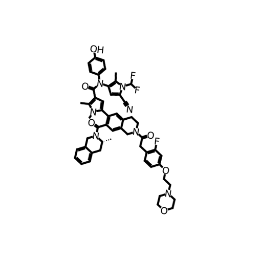 Cc1c(C(=O)N(c2ccc(O)cc2)c2cc(C#N)n(C(F)F)c2C)cc(-c2cc3c(cc2C(=O)N2Cc4ccccc4C[C@H]2C)CN(C(=O)Cc2ccc(OCCN4CCOCC4)cc2F)CC3)n1C